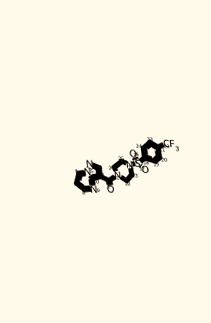 O=C(c1cnn2cccnc12)N1CCN(S(=O)(=O)c2ccc(C(F)(F)F)cc2)CC1